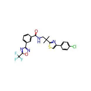 CC(C)(CNC(=O)c1cccc(-c2noc(C(F)(F)F)n2)c1)c1nc(-c2ccc(Cl)cc2)cs1